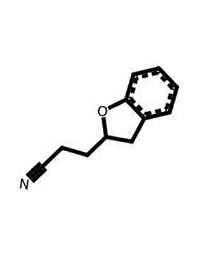 N#CCCC1Cc2ccccc2O1